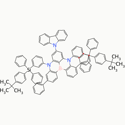 CC(C)(C)c1ccc(C(c2ccccc2)(c2ccccc2)c2cccc(N3c4cc(-n5c6ccccc6c6ccccc65)cc5c4B(c4ccc(-c6ccccc6)cc4N5c4cccc([Si](c5ccccc5)(c5ccccc5)c5ccc(C(C)(C)C)cc5)c4)c4cccc(-c5ccccc5)c43)c2)cc1